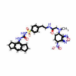 CN(CC(=O)NCCc1ccc(S(=O)(=O)NC(=O)Nc2c3c(cc4c2CCC4)CCC3)cc1)C1CCC([N+](=O)[O-])c2nonc21